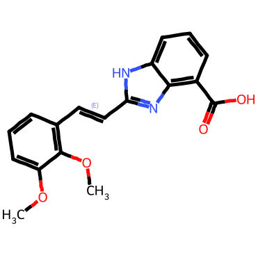 COc1cccc(/C=C/c2nc3c(C(=O)O)cccc3[nH]2)c1OC